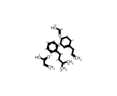 C=CC(=O)O.C=CCC1=CCCCC1.CC(C)CCc1ccccc1.O=CO